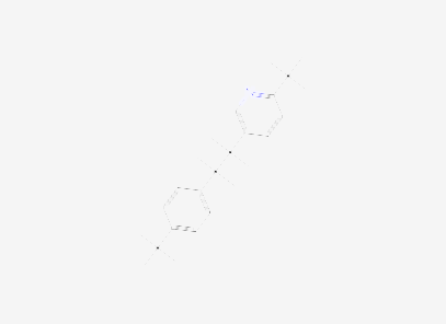 CC(C)(C)c1ccc(C(C)(C)C(C)(C)c2ccc(C(C)(C)C)nc2)cc1